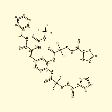 CC(C)(C)OC(=O)N[C@@H](Cc1ccc(OC(=O)C(C)(C)COC(=O)c2cccs2)c(OC(=O)C(C)(C)COC(=O)C2CC=CS2)c1)C(=O)OCc1ccccc1